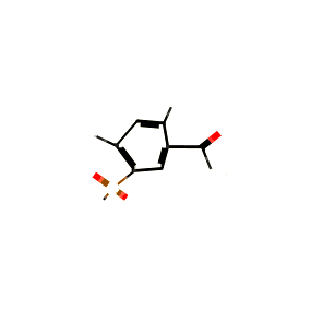 CCCCc1cc(OC)c(C(=O)OC)cc1S(C)(=O)=O